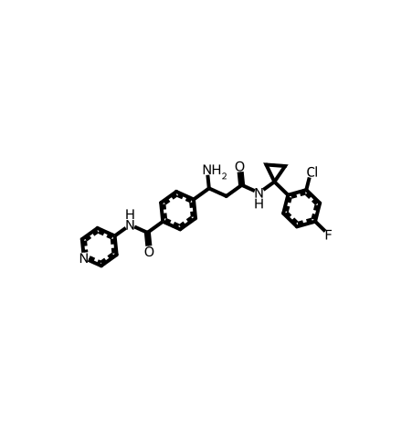 NC(CC(=O)NC1(c2ccc(F)cc2Cl)CC1)c1ccc(C(=O)Nc2ccncc2)cc1